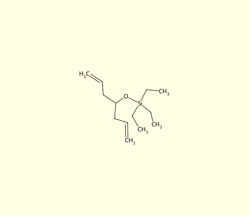 C=CCC(CC=C)O[Si](CC)(CC)CC